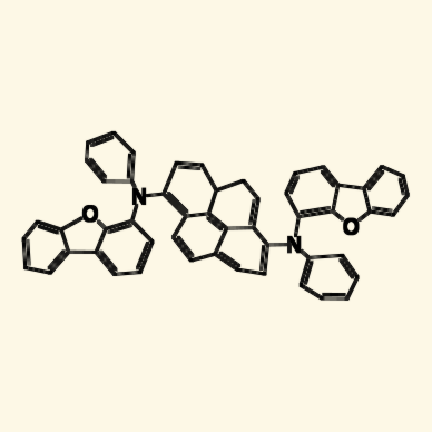 C1=CC2CC=c3c(N(c4ccccc4)c4cccc5c4oc4ccccc45)ccc4ccc(c2c34)=C1N(c1ccccc1)c1cccc2c1oc1ccccc12